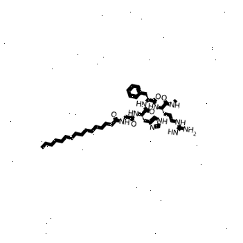 CCCCCCCCCCCCCCCC(=O)NCC(=O)N[C@@H](Cc1c[nH]cn1)C(=O)N[C@@H](Cc1ccccc1)C(=O)N[C@@H](CCCNC(=N)N)C(=O)NC